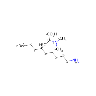 CC(C(=O)O)N(C)C.CCCCCCCCCCCCCCCCCCN